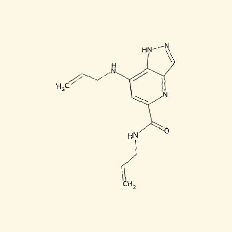 C=CCNC(=O)c1cc(NCC=C)c2[nH]ncc2n1